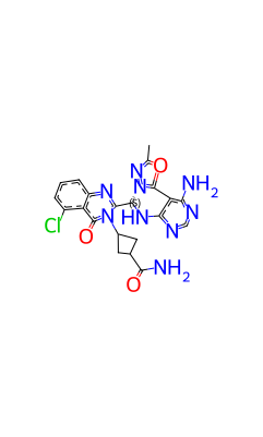 Cc1nnc(-c2c(N)ncnc2N[C@@H](C)c2nc3cccc(Cl)c3c(=O)n2C2CC(C(N)=O)C2)o1